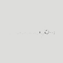 CCCCCCCCOCCC(=O)Nc1cc(C2CC2)nn1C